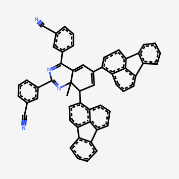 CC12N=C(c3cccc(C#N)c3)N=C(c3cccc(C#N)c3)C1=CC(c1ccc3c4c(cccc14)-c1ccccc1-3)=CC2c1ccc2c3c(cccc13)-c1ccccc1-2